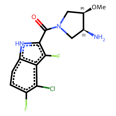 CO[C@@H]1CN(C(=O)c2[nH]c3ccc(F)c(Cl)c3c2F)C[C@@H]1N